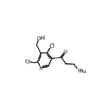 CC(C)(C)CCC(=O)c1cnc(Cl)c(CO)c1Cl